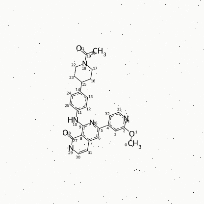 COc1cc(-c2cc3c(c(Nc4ccc(C5CCN(C(C)=O)CC5)cc4)n2)C(=O)[N]C=C3)ccn1